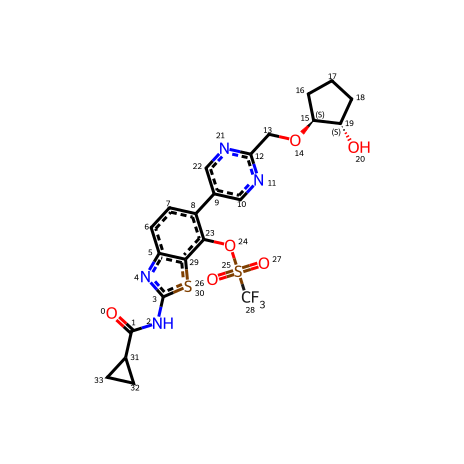 O=C(Nc1nc2ccc(-c3cnc(CO[C@H]4CCC[C@@H]4O)nc3)c(OS(=O)(=O)C(F)(F)F)c2s1)C1CC1